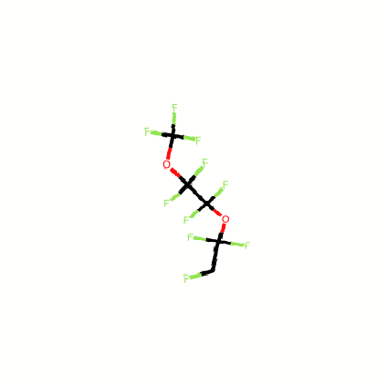 FCC(F)(F)OC(F)(F)C(F)(F)OC(F)(F)F